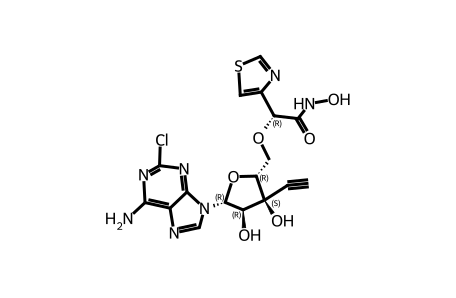 C#C[C@@]1(O)[C@@H](CO[C@@H](C(=O)NO)c2cscn2)O[C@@H](n2cnc3c(N)nc(Cl)nc32)[C@@H]1O